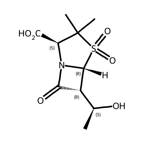 C[C@H](O)[C@@H]1C(=O)N2[C@@H](C(=O)O)C(C)(C)S(=O)(=O)[C@H]12